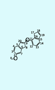 COc1ccc2c(c1)CC(Oc1cccc3c1CC=C3)=C2